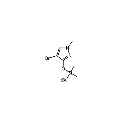 Cn1cc(Br)c(O[Si](C)(C)C(C)(C)C)n1